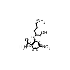 NCCCC(CO)Sc1cc([N+](=O)[O-])ccc1C(N)=O